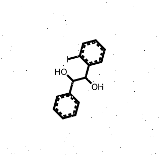 OC(c1ccccc1)C(O)c1ccccc1I